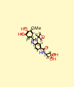 COc1cc(-c2nc3ccc(C(=O)NC4CS(O)(O)C4)cc3n2C2(C)COC2)c(F)c(O)c1O